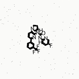 O=C(Nc1ccc(F)cn1)N1c2nc(-c3cccc(C(F)(F)F)c3)ccc2N2CC[C@@H]1C2